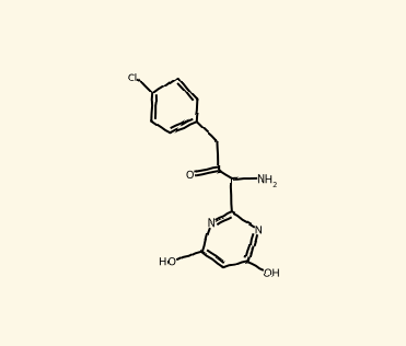 NC(C(=O)Cc1ccc(Cl)cc1)c1nc(O)cc(O)n1